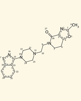 Cc1nc2c(o1)CCN(CCN1CCN(c3nsc4ccccc34)CC1)C2=O